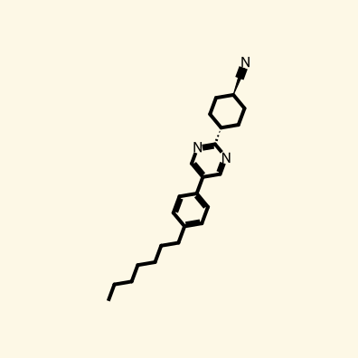 CCCCCCCc1ccc(-c2cnc([C@H]3CC[C@H](C#N)CC3)nc2)cc1